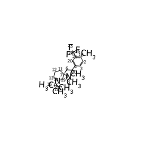 Cc1ccc(CC[C@]2(N(C)C)CCCN(C(C)(C)C)C2)cc1C(F)(F)F